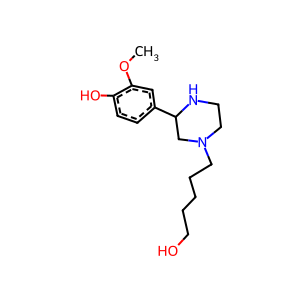 COc1cc(C2CN(CCCCCO)CCN2)ccc1O